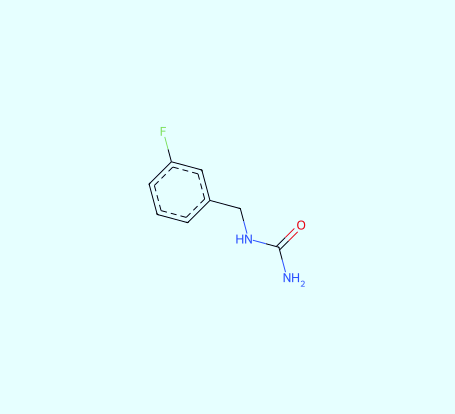 NC(=O)NCc1cccc(F)c1